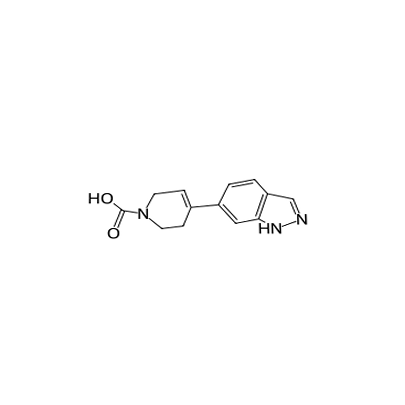 O=C(O)N1CC=C(c2ccc3cn[nH]c3c2)CC1